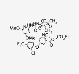 CCOC(=O)COC(=O)c1cc(Oc2ccc(C(F)(F)F)cc2Cl)ccc1[N+](=O)[O-].COc1cc(OC)nc(NC(=O)NS(=O)(=O)N(C)S(C)(=O)=O)n1